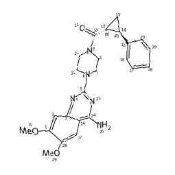 COc1cc2nc(N3CCN(C(=O)[C@@H]4C[C@H]4c4ccccc4)CC3)nc(N)c2cc1OC